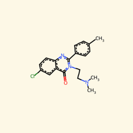 Cc1ccc(-c2nc3ccc(Cl)cc3c(=O)n2CCN(C)C)cc1